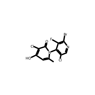 Cc1cc(O)c(Cl)c(=O)n1-c1c(Cl)cnc(Br)c1F